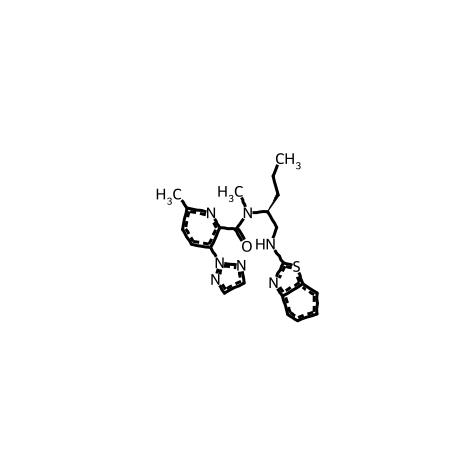 CCC[C@@H](CNc1nc2ccccc2s1)N(C)C(=O)c1nc(C)ccc1-n1nccn1